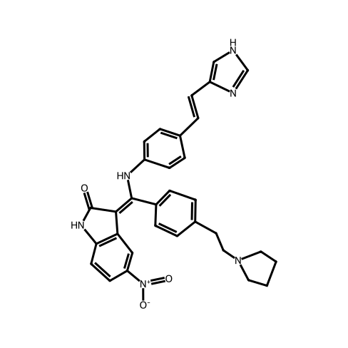 O=C1Nc2ccc([N+](=O)[O-])cc2/C1=C(/Nc1ccc(/C=C/c2c[nH]cn2)cc1)c1ccc(CCN2CCCC2)cc1